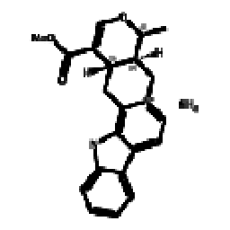 COC(=O)C1=CO[C@@H](C)[C@H]2C[n+]3ccc4c([n-]c5ccccc54)c3C[C@H]12.[SiH4]